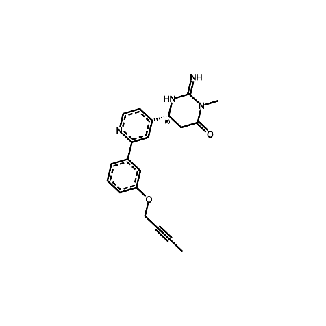 CC#CCOc1cccc(-c2cc([C@H]3CC(=O)N(C)C(=N)N3)ccn2)c1